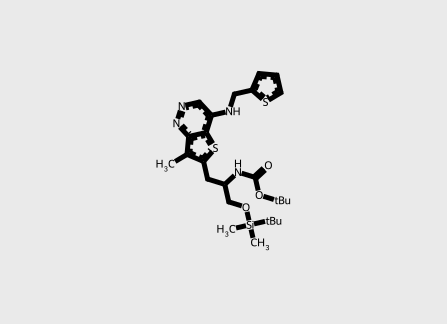 Cc1c(CC(CO[Si](C)(C)C(C)(C)C)NC(=O)OC(C)(C)C)sc2c(NCc3cccs3)cnnc12